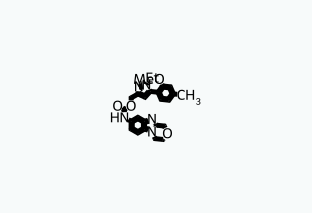 CCn1nc(COC(=O)Nc2ccc3c(c2)nc2n3CCOC2)cc1-c1ccc(C)cc1OC